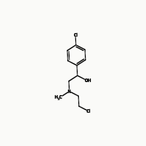 CN(CCCl)CC(O)c1ccc(Cl)cc1